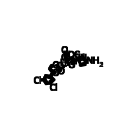 C=C1N=C(N)C=CN1[C@@H]1O[C@H](COP2(=O)OCCC(c3cc(Cl)cc(Cl)c3)O2)[C@H]2OC(=O)O[C@]21C